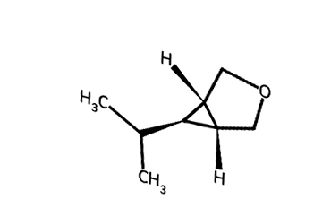 CC(C)[C@H]1[C@@H]2COC[C@@H]21